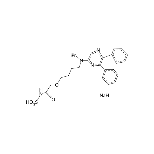 CC(C)N(CCCCOCC(=O)NS(=O)(=O)O)c1cnc(-c2ccccc2)c(-c2ccccc2)n1.[NaH]